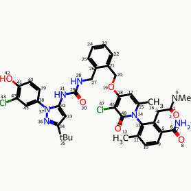 CNC(=O)Cc1c(C(N)=O)ccc(C)c1-n1c(C)cc(OCc2ccccc2CNC(=O)Nc2cc(C(C)(C)C)nn2-c2ccc(O)c(Cl)c2)c(Cl)c1=O